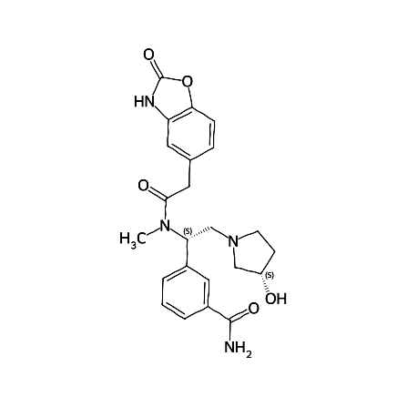 CN(C(=O)Cc1ccc2oc(=O)[nH]c2c1)[C@H](CN1CC[C@H](O)C1)c1cccc(C(N)=O)c1